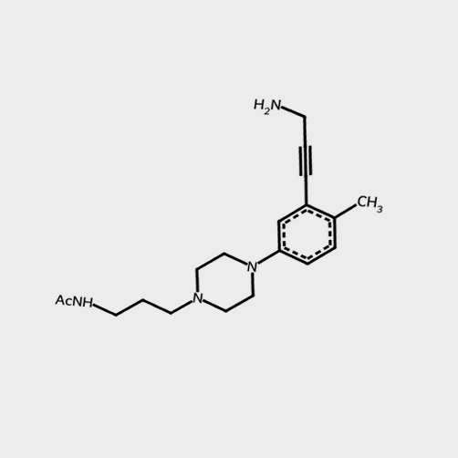 CC(=O)NCCCN1CCN(c2ccc(C)c(C#CCN)c2)CC1